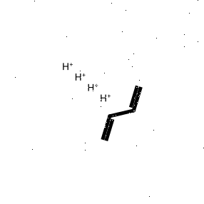 C=CC=C.[H+].[H+].[H+].[H+]